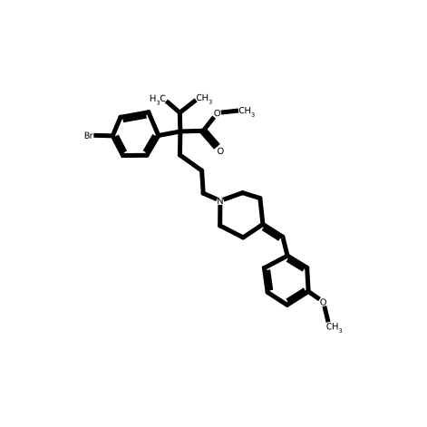 COC(=O)C(CCCN1CCC(=Cc2cccc(OC)c2)CC1)(c1ccc(Br)cc1)C(C)C